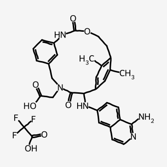 Cc1cc2cc(C)c1CCOC(=O)Nc1cccc(c1)CN(CC(=O)O)C(=O)C2Nc1ccc2c(N)nccc2c1.O=C(O)C(F)(F)F